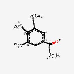 CC(=O)Oc1cc(C(=O)C(=O)O)cc([N+](=O)[O-])c1OC(C)=O